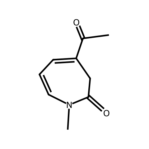 CC(=O)C1=CC=CN(C)C(=O)C1